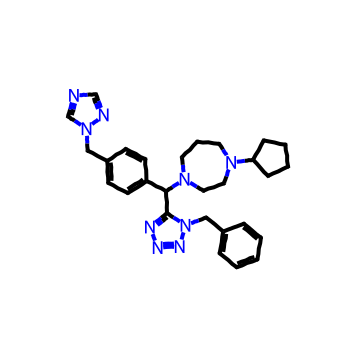 c1ccc(Cn2nnnc2C(c2ccc(Cn3cncn3)cc2)N2CCCN(C3CCCC3)CC2)cc1